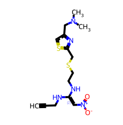 C#CCN/C(=C/[N+](=O)[O-])NCCSCc1nc(CN(C)C)cs1